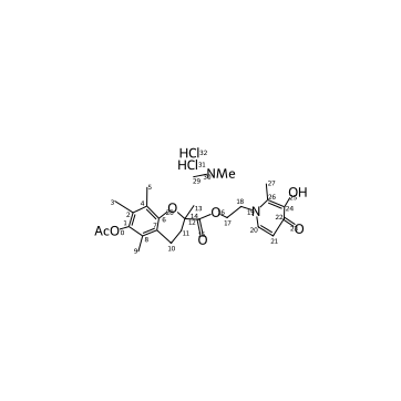 CC(=O)Oc1c(C)c(C)c2c(c1C)CCC(C)(C(=O)OCCn1ccc(=O)c(O)c1C)O2.CNC.Cl.Cl